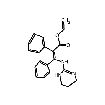 C=COC(=O)C(=C(NC1=NCCCN1)c1ccccc1)c1ccccc1